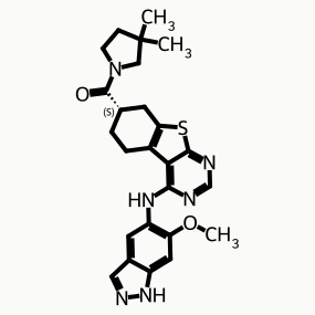 COc1cc2[nH]ncc2cc1Nc1ncnc2sc3c(c12)CC[C@H](C(=O)N1CCC(C)(C)C1)C3